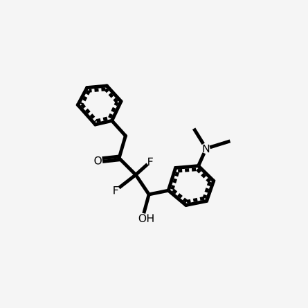 CN(C)c1cccc(C(O)C(F)(F)C(=O)Cc2ccccc2)c1